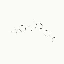 CC(=O)NS(=O)(=O)c1ccc(NC(=O)c2nc(-c3ccc(C(N)=O)cc3)cnc2N)cc1